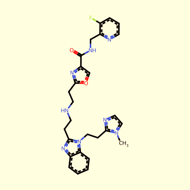 Cn1ccnc1CCn1c(CCNCCc2nc(C(=O)NCc3ncccc3F)co2)nc2ccccc21